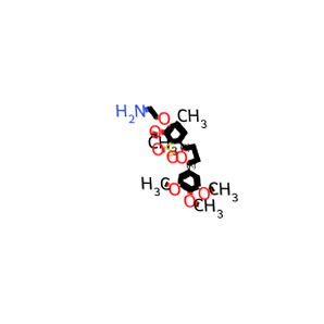 COC1=C(OCCN)C(C)=CC([C@H]2CC[C@H](c3cc(OC)c(OC)c(OC)c3)O2)C1=S(=O)=O